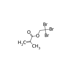 C=C(C)C(=O)OCC(Br)(Br)Br